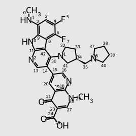 CNc1cc(F)c(F)c2c1[nH]c1ncc(-c3cnc4c(c3)c(=O)c(C(=O)O)cn4C)c(N3CC[C@@H](CN4CCCC4)C3)c12